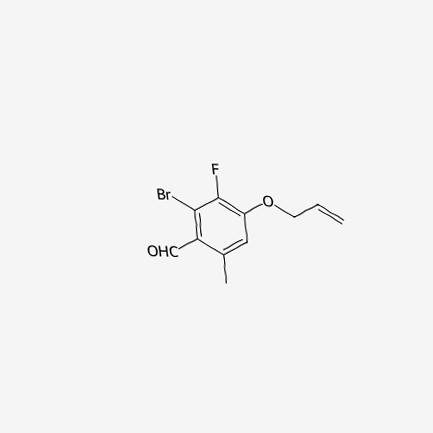 C=CCOc1cc(C)c(C=O)c(Br)c1F